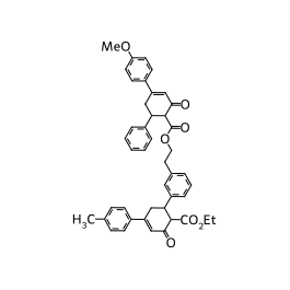 CCOC(=O)C1C(=O)C=C(c2ccc(C)cc2)CC1c1cccc(CCOC(=O)C2C(=O)C=C(c3ccc(OC)cc3)CC2c2ccccc2)c1